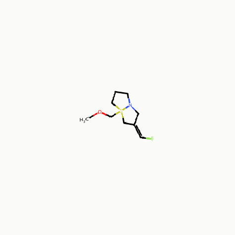 COCS12CCCN1C/C(=C\F)C2